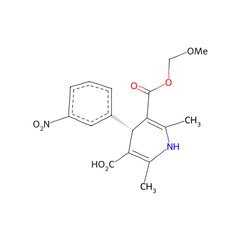 COCOC(=O)C1=C(C)NC(C)=C(C(=O)O)[C@@H]1c1cccc([N+](=O)[O-])c1